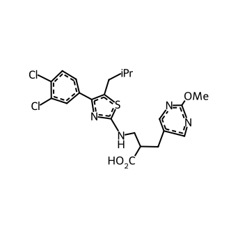 COc1ncc(CC(CNc2nc(-c3ccc(Cl)c(Cl)c3)c(CC(C)C)s2)C(=O)O)cn1